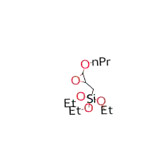 CCCOC1OC1C[Si](OCC)(OCC)OCC